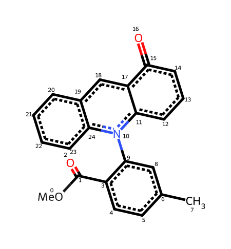 COC(=O)c1ccc(C)cc1-n1c2cccc(=O)c-2cc2ccccc21